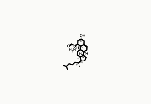 CC(C)CCC[C@@H](C)[C@H]1CC[C@H]2[C@@H]3CC=C4C[C@@H](O)CC(N(N)C=O)[C@]4(C)[C@H]3CC[C@]12C